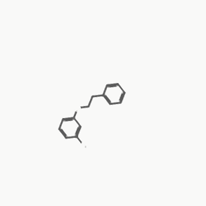 CCCc1cccc(SCCc2ccccc2)c1